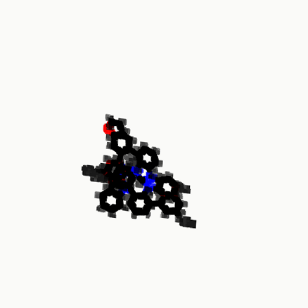 CC(C)(C)c1cc(-c2cccc(-c3cc(C(C)(C)C)cc(C(C)(C)C)c3)c2[N+]23c4ccccc4[N+]24c2cccc5c2[N+]2(c6c(ccc7c8ccccc8n(c67)-c6cc(C(C)(C)C)cc[n+]62)-c2cc6occc6cc2-5)C43)cc(C(C)(C)C)c1